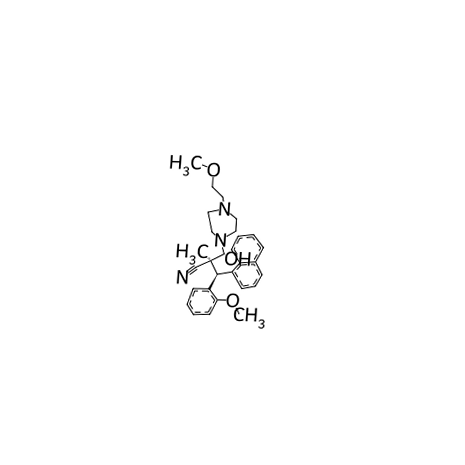 COCCN1CCN(C(O)[C@](C)(C#N)[C@H](c2ccccc2OC)c2cccc3ccccc23)CC1